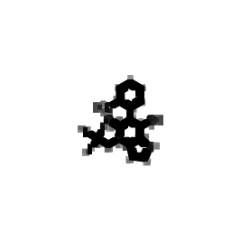 Cc1ccccc1-c1c(O)c2sccc2n(CC(F)(F)F)c1=O